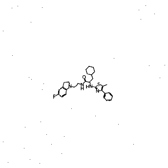 Cc1sc(NC(CC2CCCCC2)C(=O)NCCN2CCc3cc(F)ccc32)nc1-c1ccccc1